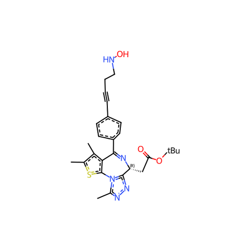 Cc1sc2c(c1C)C(c1ccc(C#CCCNO)cc1)=N[C@H](CC(=O)OC(C)(C)C)c1nnc(C)n1-2